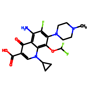 CN1CCN(c2c(F)c(N)c3c(=O)c(C(=O)O)cn(C4CC4)c3c2OC(F)F)CC1